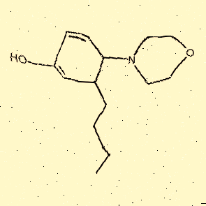 CCCCC1C=C(O)C=CC1N1CCOCC1